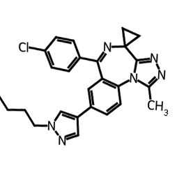 Cc1nnc2n1-c1ccc(-c3cnn(CCCCl)c3)cc1C(c1ccc(Cl)cc1)=NC21CC1